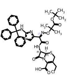 CC(C)(C)OC(=O)C(C)(C)O/N=C(\C(=O)N[C@@H]1C(=O)N2C(C(=O)O)=C(CCl)CS[C@H]12)c1csc(NC(c2ccccc2)(c2ccccc2)c2ccccc2)n1